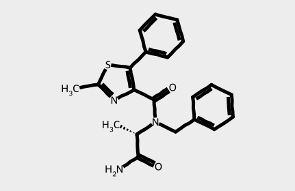 Cc1nc(C(=O)N(Cc2ccccc2)[C@@H](C)C(N)=O)c(-c2ccccc2)s1